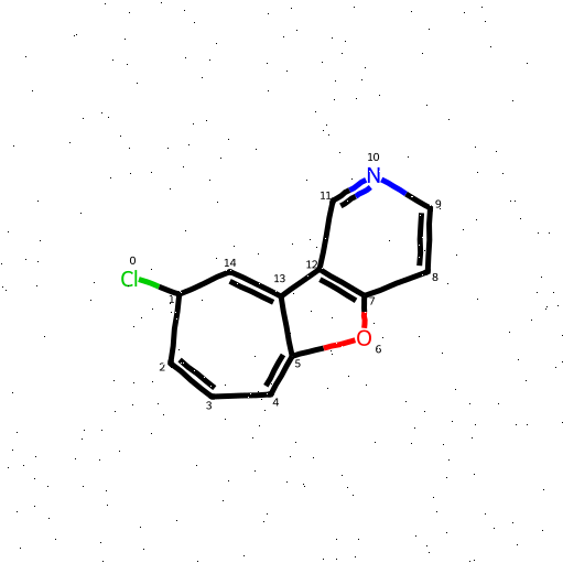 ClC1C=CC=c2oc3ccncc3c2=C1